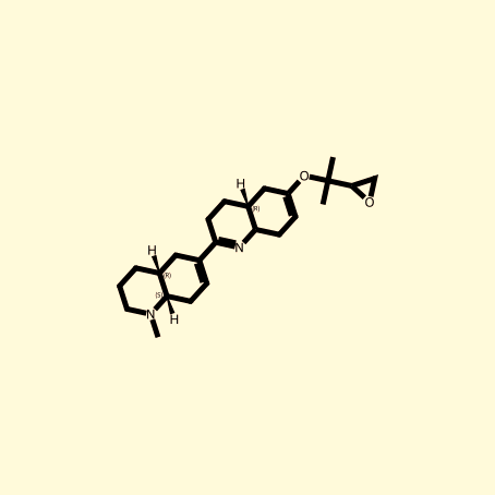 CN1CCC[C@@H]2CC(C3=NC4CC=C(OC(C)(C)C5CO5)C[C@H]4CC3)=CC[C@@H]21